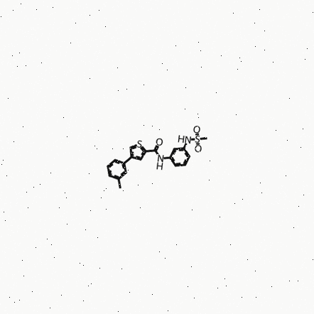 Cc1cccc(-c2csc(C(=O)Nc3cccc(NS(C)(=O)=O)c3)c2)c1